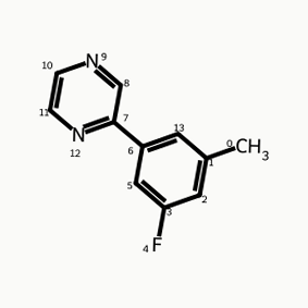 Cc1cc(F)cc(-c2cnccn2)c1